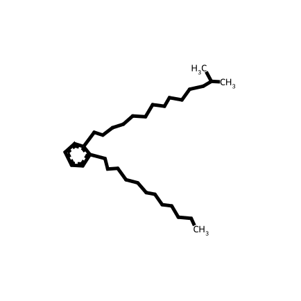 CCCCCCCCCCCCc1ccc[c]c1CCCCCCCCCCCCC(C)C